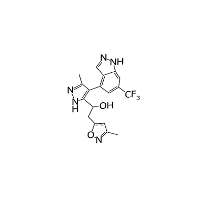 Cc1cc(CC(O)c2[nH]nc(C)c2-c2cc(C(F)(F)F)cc3[nH]ncc23)on1